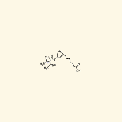 CC(=N)/C(NSc1cccc(CCCCCCC(=O)O)c1)=C(/C)N